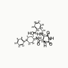 O=C(NC1CCC(c2ccccc2)CC1)c1[nH]c(=O)[nH]c(=O)c1NCc1ccccc1CO